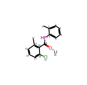 Cc1ccccc1PC(=O)c1c(C)cccc1Cl.[Li]